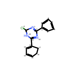 ClC1N=C(c2ccccc2)N=C(C2=CC=CCC2)N1